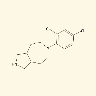 Clc1ccc(N2CCC3CNCC3CC2)c(Cl)c1